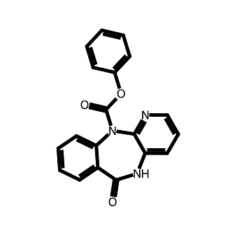 O=C1Nc2cccnc2N(C(=O)Oc2ccccc2)c2ccccc21